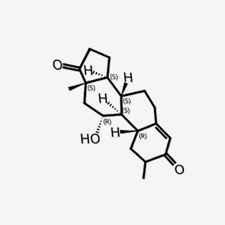 CC1C[C@H]2C(=CC1=O)CC[C@@H]1[C@@H]2[C@H](O)C[C@]2(C)C(=O)CC[C@@H]12